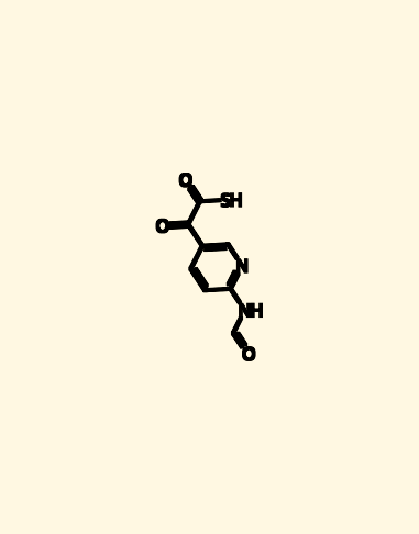 O=CNc1ccc(C(=O)C(=O)S)cn1